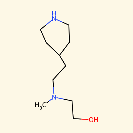 CN(CCO)CCC1CCNCC1